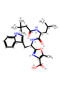 Cc1oc([C@@H](Cc2c[nH]c3ccccc23)NC(=O)[C@H](CC(C)C)NC(=O)CC(C)(C)C)nc1C(=O)O